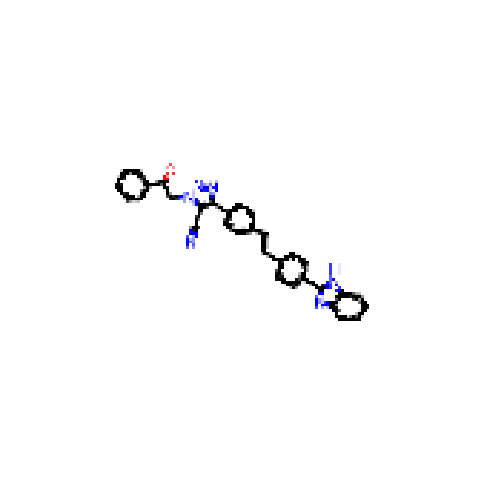 N#Cc1c(-c2ccc(C=Cc3ccc(-c4nc5ccccc5[nH]4)cc3)cc2)nnn1CC(=O)c1ccccc1